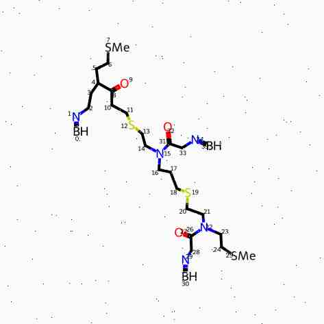 B=NCCC(CCSC)C(=O)CCSCCN(CCCSCCN(CCSC)C(=O)CN=B)C(=O)CN=B